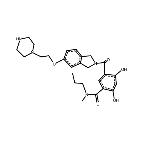 CCCN(C)C(=O)c1cc(C(=O)N2Cc3ccc(OCCN4CCNCC4)cc3C2)c(O)cc1O